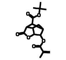 C=C(C)C(=O)OC1C2CC3C1OC(=O)C3C2C(=O)OC(C)(C)C